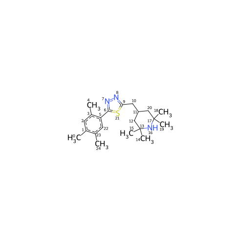 Cc1cc(C)c(-c2nnc(CC3CC(C)(C)NC(C)(C)C3)s2)cc1C